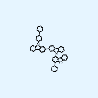 C1=CCCC(c2ccc(-n3c4ccccc4c4ccc(-c5ccc6c7ccccc7n(-c7ccc(-c8ccccc8)cc7)c6c5)cc43)c3c2oc2ccccc23)=C1